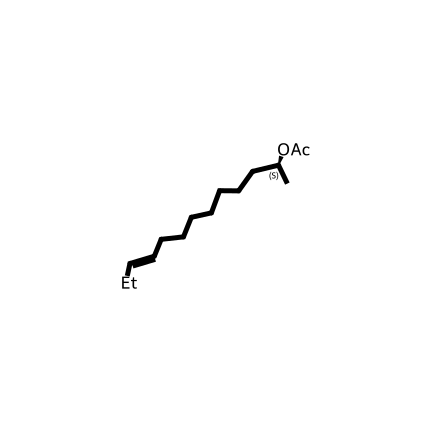 CCC=CCCCCCCC[C@H](C)OC(C)=O